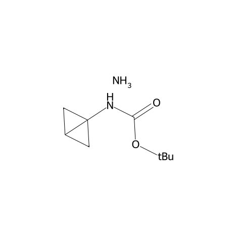 CC(C)(C)OC(=O)NC12CC1C2.N